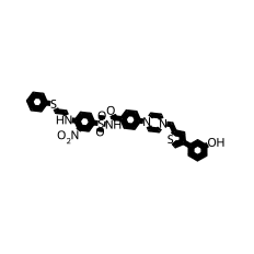 O=C(NS(=O)(=O)c1ccc(NCCSc2ccccc2)c([N+](=O)[O-])c1)c1ccc(N2CCN(Cc3cc(-c4cccc(O)c4)cs3)CC2)cc1